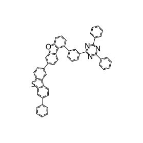 c1ccc(-c2ccc3c(c2)sc2ccc(-c4ccc5c(c4)oc4cccc(-c6cccc(-c7nc(-c8ccccc8)nc(-c8ccccc8)n7)c6)c45)cc23)cc1